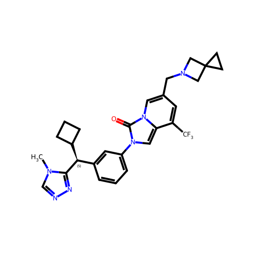 Cn1cnnc1[C@H](c1cccc(-n2cc3c(C(F)(F)F)cc(CN4CC5(CC5)C4)cn3c2=O)c1)C1CCC1